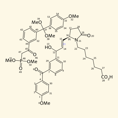 COc1ccc(C(=O)c2cccc(C(O)/C=C/[C@H]3CCC(=O)N3CCCCCCC(=O)O)c2)cc1.COc1ccc(C(OC)(OC)c2cccc(C(=O)CP(=O)(OC)OC)c2)cc1